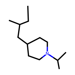 CCC(C)CC1CCN(C(C)C)CC1